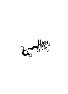 NP(N)(=O)NC(=O)CCCN1C(=O)C=CC1=O